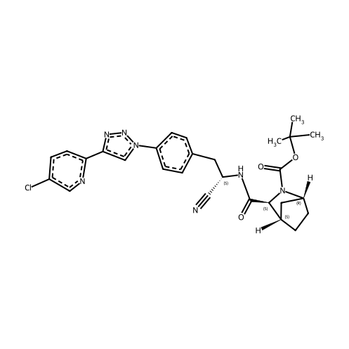 CC(C)(C)OC(=O)N1[C@@H]2CC[C@@H](C2)[C@H]1C(=O)N[C@H](C#N)Cc1ccc(-n2cc(-c3ccc(Cl)cn3)nn2)cc1